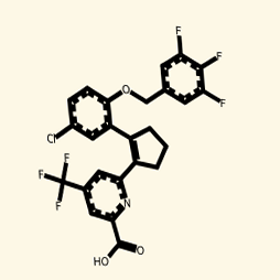 O=C(O)c1cc(C(F)(F)F)cc(C2=C(c3cc(Cl)ccc3OCc3cc(F)c(F)c(F)c3)CCC2)n1